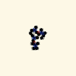 c1ccc(-c2ccc3c4ccccc4n(-c4nc(-c5ccccc5)nc(-c5cccc6c5oc5cc(-c7nc(-c8ccccc8)nc(-c8cccc(-c9cccc(-c%10ccc(-c%11nc(-c%12ccccc%12)nc(-c%12ccc%13c(c%12)oc%12c(-c%14nc(-c%15ccccc%15)nc(-n%15c%16ccccc%16c%16ccccc%16%15)n%14)cccc%12%13)n%11)cc%10)c9)c8)n7)ccc56)n4)c3c2)cc1